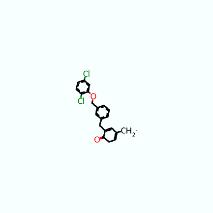 [CH2]C1=CCC(=O)C(Cc2cccc(COc3cc(Cl)ccc3Cl)c2)=C1